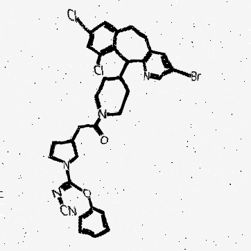 N#CN=C(Oc1ccccc1)N1CCC(CC(=O)N2CCC(C3c4ncc(Br)cc4CCc4cc(Cl)cc(Cl)c43)CC2)C1